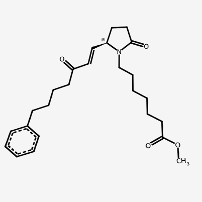 COC(=O)CCCCCCN1C(=O)CC[C@@H]1C=CC(=O)CCCCc1ccccc1